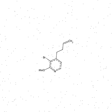 C=CCCc1ccnc(OC)c1Br